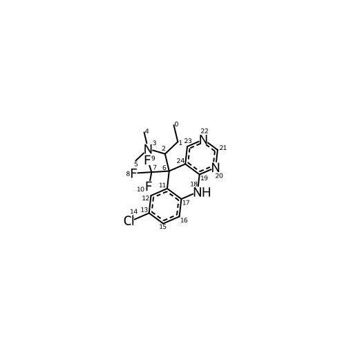 CCC(N(C)C)C1(C(F)(F)F)c2cc(Cl)ccc2Nc2ncncc21